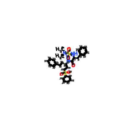 CN(C)S(=O)(=O)N[C@@H](Cc1ccccc1)C(=O)N[C@H](C=CS(=O)(=O)c1ccccc1)CCc1ccccc1